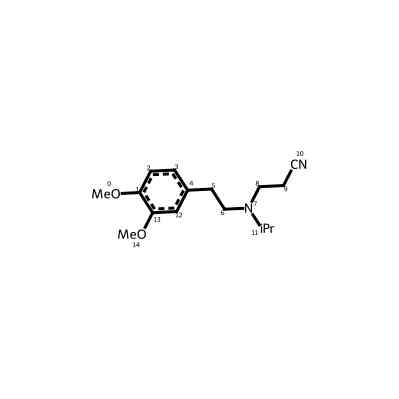 COc1ccc(CCN(CCC#N)C(C)C)cc1OC